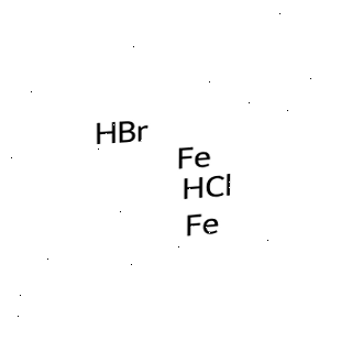 Br.Cl.[Fe].[Fe]